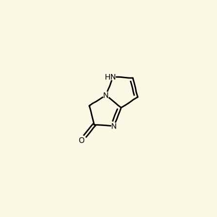 O=C1CN2NC=CC2=N1